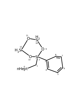 CCCCCCCC[Si]1(c2ccccc2)O[SiH2]O[SiH2]O1